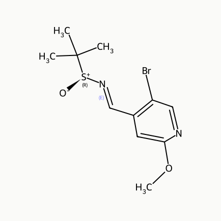 COc1cc(/C=N/[S@@+]([O-])C(C)(C)C)c(Br)cn1